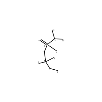 C=P(C)(CC(C)(C)CC)C(C)C